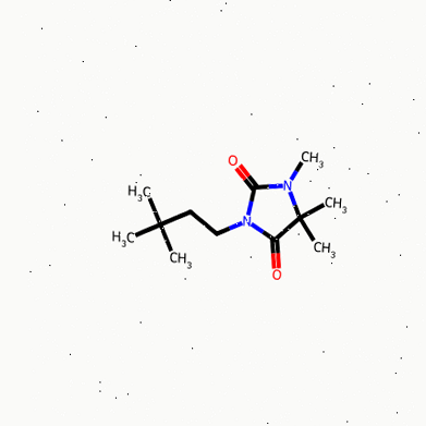 CN1C(=O)N(CCC(C)(C)C)C(=O)C1(C)C